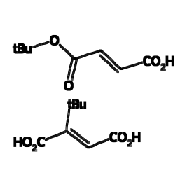 CC(C)(C)/C(=C\C(=O)O)C(=O)O.CC(C)(C)OC(=O)/C=C/C(=O)O